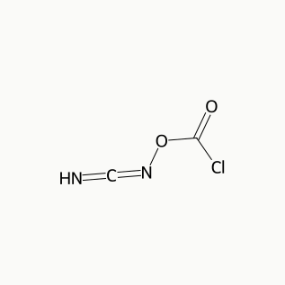 N=C=NOC(=O)Cl